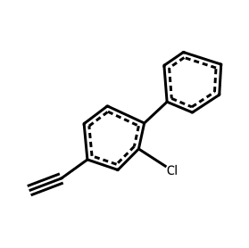 C#Cc1ccc(-c2ccccc2)c(Cl)c1